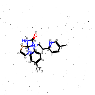 Cc1ccc(CC[N+]2(c3ccc(C(F)(F)F)cc3)C(=O)NC23NC=CS3)nc1